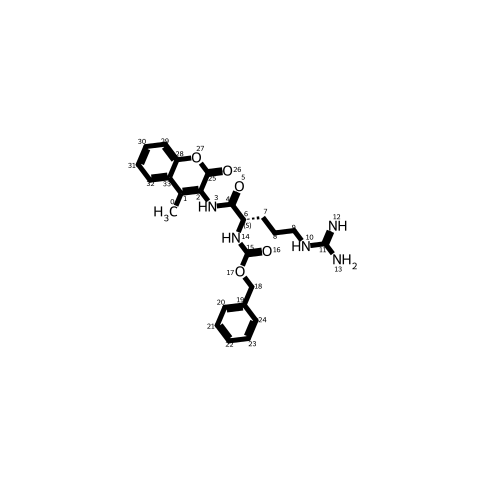 Cc1c(NC(=O)[C@H](CCCNC(=N)N)NC(=O)OCc2ccccc2)c(=O)oc2ccccc12